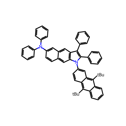 CC(C)(C)c1c2ccccc2c(C(C)(C)C)c2cc(-n3c(-c4ccccc4)c(-c4ccccc4)c4cc5cc(N(c6ccccc6)c6ccccc6)ccc5cc43)ccc12